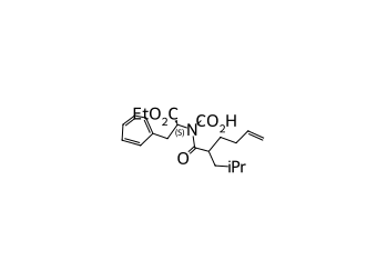 C=CCCC(CC(C)C)C(=O)N(C(=O)O)[C@@H](Cc1ccccc1)C(=O)OCC